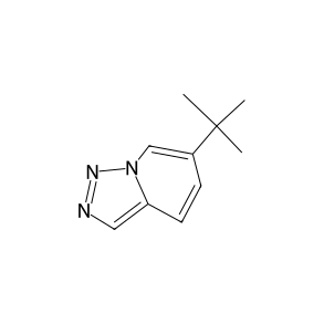 CC(C)(C)c1ccc2cnnn2c1